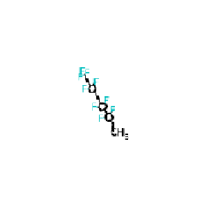 CCCc1cc(F)c(-c2cc(F)c(C#Cc3cc(F)c(C#CC(F)(F)F)c(F)c3)c(F)c2)c(F)c1